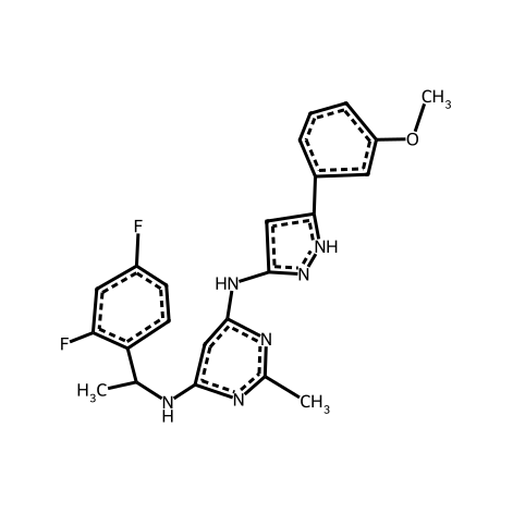 COc1cccc(-c2cc(Nc3cc(NC(C)c4ccc(F)cc4F)nc(C)n3)n[nH]2)c1